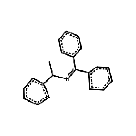 CC(N=C(c1ccccc1)c1ccccc1)c1ccccc1